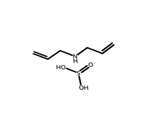 C=CCNCC=C.O=S(O)O